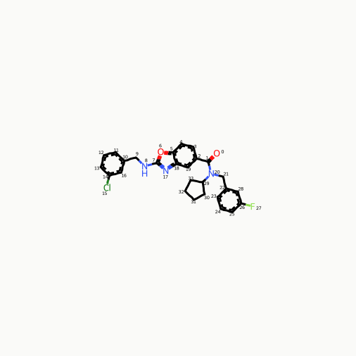 O=C(c1ccc2oc(NCc3cccc(Cl)c3)nc2c1)N(Cc1cccc(F)c1)C1CCCC1